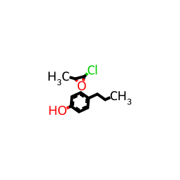 CC1OC1Cl.CCCc1ccc(O)cc1